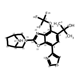 CC(C)(O)c1cc(-c2cscn2)c2oc(N3CC4CCC(C3)N4)nc2c1OC(F)(F)F